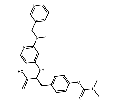 CN(C)C(=O)Oc1ccc(C[C@H](Nc2cc(N(C)Cc3cccnc3)ncn2)C(=O)O)cc1